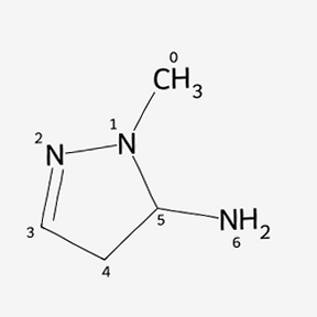 CN1N=CCC1N